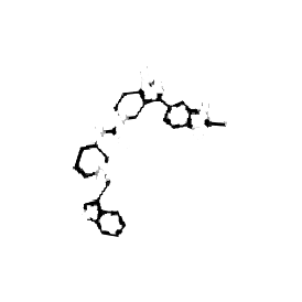 Cc1nc2cc(-c3n[nH]c4c3CN(C(=O)N[C@@H]3CCCN(Cc5csc6ccccc56)C3)CC4)ccc2o1